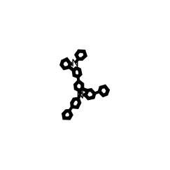 c1ccc(-c2ccc(-n3c4ccc(-c5ccccc5)cc4c4cc(-c5ccc6c(c5)c5ccccc5n6-c5ccccc5)ccc43)cc2)cc1